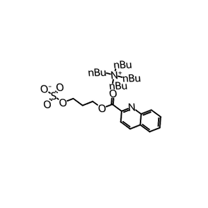 CCCC[N+](CCCC)(CCCC)CCCC.O=C(OCCCOS(=O)(=O)[O-])c1ccc2ccccc2n1